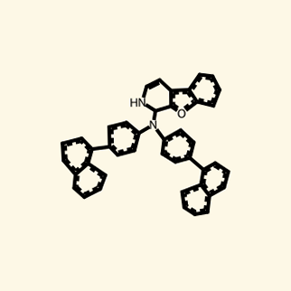 C1=Cc2c(oc3ccccc23)C(N(c2ccc(-c3cccc4ccccc34)cc2)c2ccc(-c3cccc4ccccc34)cc2)N1